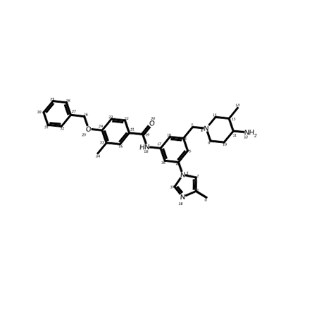 Cc1cn(-c2cc(CN3CCC(N)C(C)C3)cc(NC(=O)c3ccc(OCc4ccccc4)c(C)c3)c2)cn1